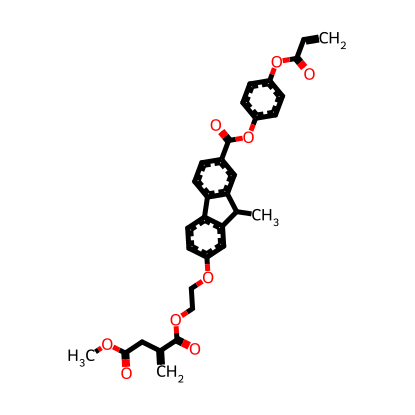 C=CC(=O)Oc1ccc(OC(=O)c2ccc3c(c2)C(C)c2cc(OCCOC(=O)C(=C)CC(=O)OC)ccc2-3)cc1